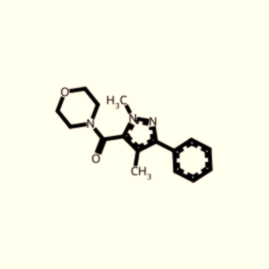 Cc1c(-c2ccccc2)nn(C)c1C(=O)N1CCOCC1